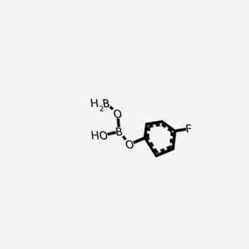 BOB(O)Oc1ccc(F)cc1